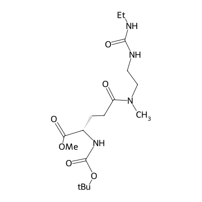 CCNC(=O)NCCN(C)C(=O)CC[C@H](NC(=O)OC(C)(C)C)C(=O)OC